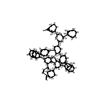 C=C/C=C\C(=C)c1cc(-c2ccccc2)cc2c1c1c(-c3ccccc3)cc(-c3ccccc3)cc1n2-c1c(-c2ccc(-c3ccccc3)cc2)cc(-c2nc(-c3ccccc3)nc(-c3ccccc3)n2)cc1-c1ccc(-c2ccccc2)cc1